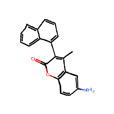 Cc1c(-c2cccc3ccccc23)c(=O)oc2ccc(N)cc12